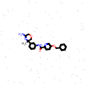 CC1(c2cccc(NC(=O)c3ccc(OCc4ccccc4)cn3)c2)COCC(N)=N1